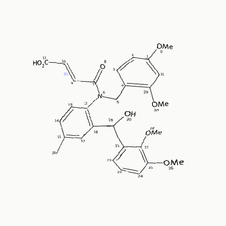 COc1ccc(CN(C(=O)/C=C/C(=O)O)c2ccc(C)cc2C(O)c2cccc(OC)c2OC)c(OC)c1